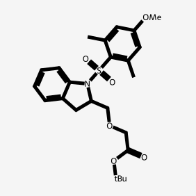 COc1cc(C)c(S(=O)(=O)N2c3ccccc3CC2COCC(=O)OC(C)(C)C)c(C)c1